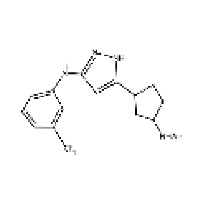 CC(=O)NC1CCC(c2cc(Nc3cccc(C(F)(F)F)c3)n[nH]2)C1